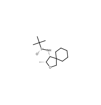 C[C@H]1OCC2(CCCCC2)[C@H]1N[S@+]([O-])C(C)(C)C